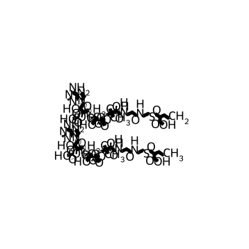 C=CCC(C(=O)O)C(=O)SCCNC(=O)CCNC(=O)[C@H](O)C(C)(C)COP(=O)(O)OP(=O)(O)OC[C@H]1O[C@@H](n2cnc3c(N)ncnc32)[C@H](O)[C@@H]1OP(=O)(O)O.CCCC(C(=O)O)C(=O)SCCNC(=O)CCNC(=O)[C@H](O)C(C)(C)COP(=O)(O)OP(=O)(O)OC[C@H]1O[C@@H](n2cnc3c(N)ncnc32)[C@H](O)[C@@H]1OP(=O)(O)O